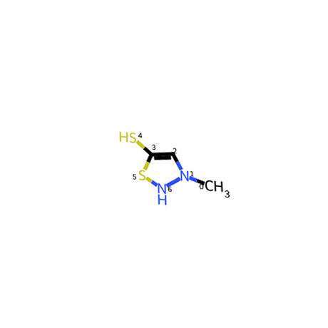 CN1C=C(S)SN1